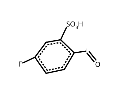 O=Ic1ccc(F)cc1S(=O)(=O)O